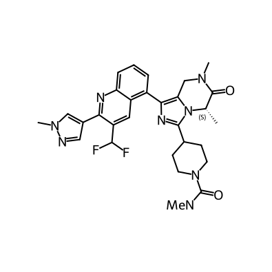 CNC(=O)N1CCC(c2nc(-c3cccc4nc(-c5cnn(C)c5)c(C(F)F)cc34)c3n2[C@@H](C)C(=O)N(C)C3)CC1